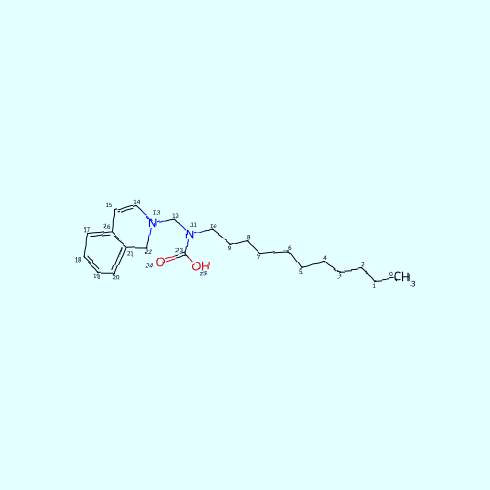 CCCCCCCCCCCN(CN1C=Cc2ccccc2C1)C(=O)O